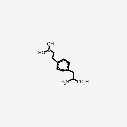 NC(Cc1ccc(CCB(O)O)cc1)C(=O)O